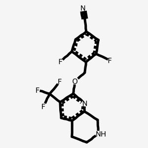 N#Cc1cc(F)c(COc2nc3c(cc2C(F)(F)F)CCNC3)c(F)c1